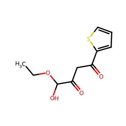 CCOC(O)C(=O)CC(=O)c1cccs1